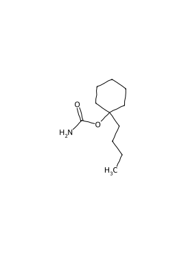 CCCCC1(OC(N)=O)CCCCC1